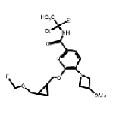 CCC(CC)(NC(=O)c1ccc(N2CC(OC)C2)c(OCC2CC2COCF)n1)C(=O)O